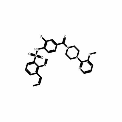 C=Nc1c(/C=C\C)cccc1S(=O)(=O)Nc1ccc(C(=O)N2CCN(c3ncccc3OC)CC2)cc1F